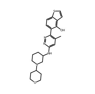 Cc1cc(NC2CCCN(C3CCOCC3)C2)nnc1-c1ccc2sccc2c1O